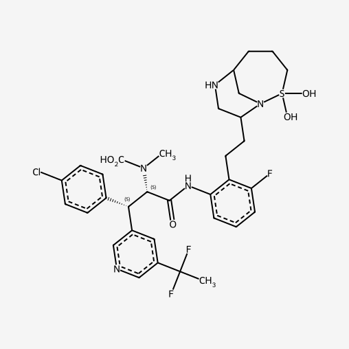 CN(C(=O)O)[C@H](C(=O)Nc1cccc(F)c1CCC1CNC2CCCS(O)(O)N1C2)[C@@H](c1ccc(Cl)cc1)c1cncc(C(C)(F)F)c1